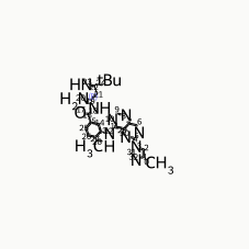 Cc1cn(-c2ncc3ncnc(Nc4cc(C(=O)N/C(N)=C/C(=N)C(C)(C)C)ccc4C)c3n2)cn1